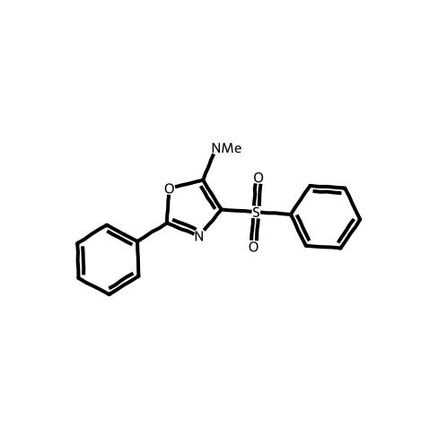 CNc1oc(-c2ccccc2)nc1S(=O)(=O)c1ccccc1